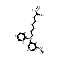 CC(C)Oc1cncc(N(CCCCCCC(=O)NO)c2ccccn2)c1